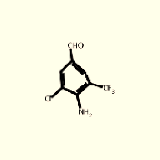 Nc1c(Cl)cc(C=O)cc1C(F)(F)F